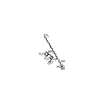 CCCCCCCC/C=C/CCCCCCCC(=O)OC[C@H](O)COP(=O)(O)O.Cc1ncc(C[n+]2csc(CCCl)c2C)c(N)n1.[Cl-]